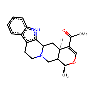 COC(=O)C1=CO[C@@H](C)C2CN3CCc4c([nH]c5ccccc45)C3C[C@@H]12